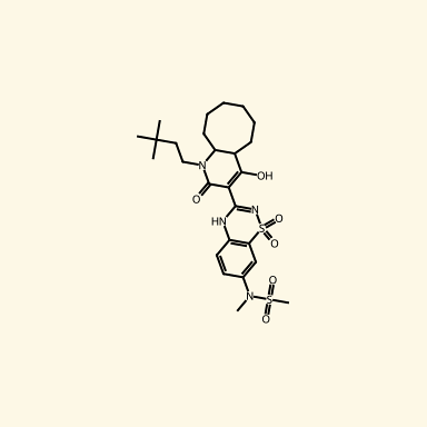 CN(c1ccc2c(c1)S(=O)(=O)N=C(C1=C(O)C3CCCCCCC3N(CCC(C)(C)C)C1=O)N2)S(C)(=O)=O